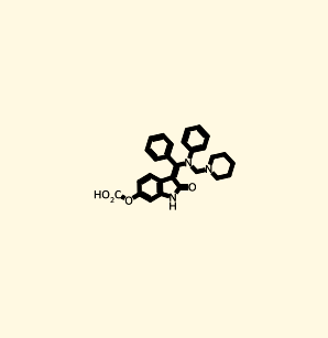 O=C(O)Oc1ccc2c(c1)NC(=O)/C2=C(/c1ccccc1)N(CN1CCCCC1)c1ccccc1